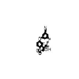 N#Cc1cc(F)cc(Oc2ccc3c(c2)C(O)(C(F)(F)F)CS3(=O)=O)c1